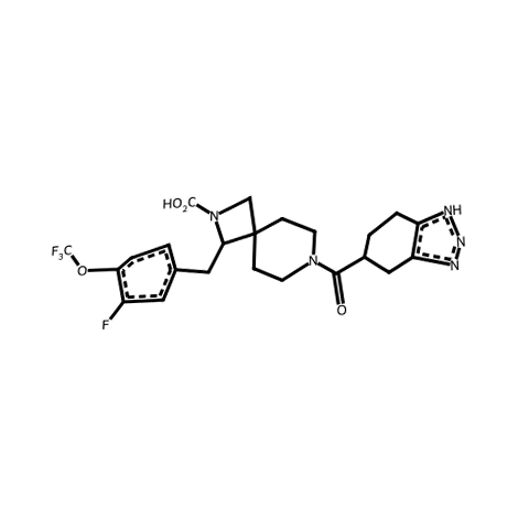 O=C(C1CCc2[nH]nnc2C1)N1CCC2(CC1)CN(C(=O)O)C2Cc1ccc(OC(F)(F)F)c(F)c1